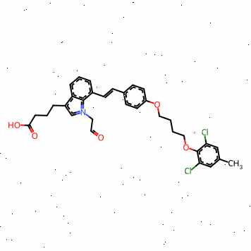 Cc1cc(Cl)c(OCCCCOc2ccc(/C=C/c3cccc4c(CCCC(=O)O)cn(CC=O)c34)cc2)c(Cl)c1